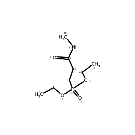 CCOP(=O)(CCC(=O)NC)OCC